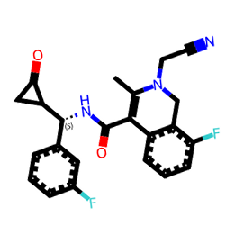 CC1=C(C(=O)N[C@H](c2cccc(F)c2)C2CC2=O)c2cccc(F)c2CN1CC#N